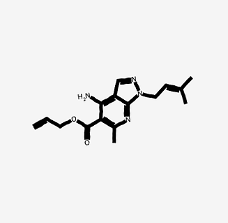 C=CCOC(=O)c1c(C)nc2c(cnn2CC=C(C)C)c1N